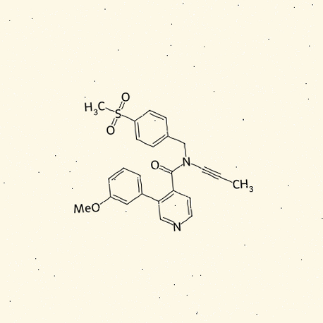 CC#CN(Cc1ccc(S(C)(=O)=O)cc1)C(=O)c1ccncc1-c1cccc(OC)c1